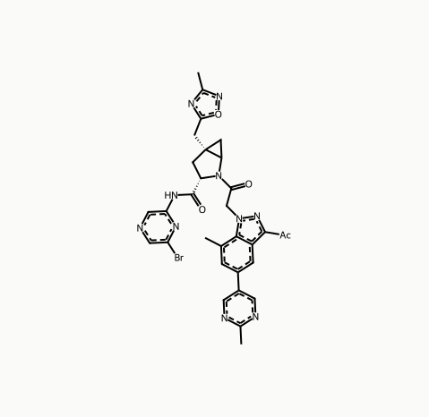 CC(=O)c1nn(CC(=O)N2C3C[C@]3(Cc3nc(C)no3)C[C@H]2C(=O)Nc2cncc(Br)n2)c2c(C)cc(-c3cnc(C)nc3)cc12